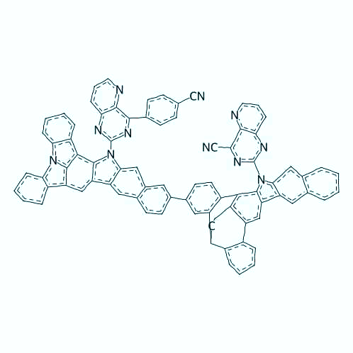 N#Cc1ccc(-c2nc(-n3c4cc5cc(-c6ccc7c(c6)C6CCc8c(cc9c%10cc%11ccccc%11cc%10n(-c%10nc(C#N)c%11ncccc%11n%10)c9c8-7)-c7ccccc76)ccc5cc4c4cc5c6ccccc6n6c7ccccc7c(c43)c56)nc3cccnc23)cc1